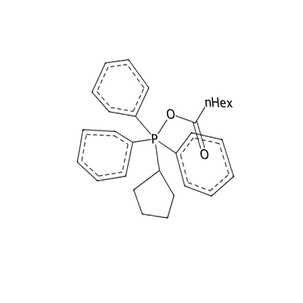 CCCCCCC(=O)OP(c1ccccc1)(c1ccccc1)(c1ccccc1)C1CCCC1